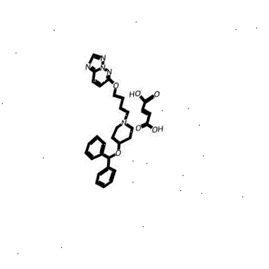 O=C(O)C=CC(=O)O.c1ccc(C(OC2CCN(CCCCOc3ccc4ncnn4n3)CC2)c2ccccc2)cc1